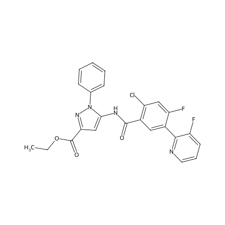 CCOC(=O)c1cc(NC(=O)c2cc(-c3ncccc3F)c(F)cc2Cl)n(-c2ccccc2)n1